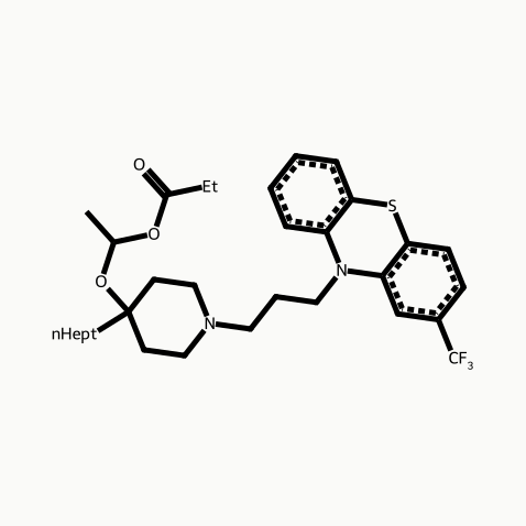 CCCCCCCC1(OC(C)OC(=O)CC)CCN(CCCN2c3ccccc3Sc3ccc(C(F)(F)F)cc32)CC1